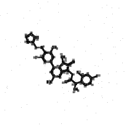 Cc1cc(-c2cc(C)c(OCc3nnc[nH]3)c(F)c2)c2c(c1)n(CC(=O)N(C)c1ccc(F)cc1F)c(=O)n2C